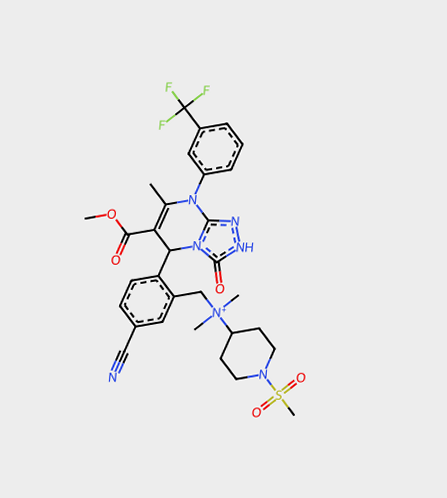 COC(=O)C1=C(C)N(c2cccc(C(F)(F)F)c2)c2n[nH]c(=O)n2C1c1ccc(C#N)cc1C[N+](C)(C)C1CCN(S(C)(=O)=O)CC1